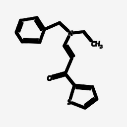 CCN(C=CC(=O)c1cccs1)Cc1ccccc1